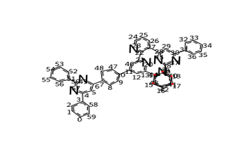 c1ccc(-c2cc(-c3ccc(-c4cc(-c5ccccn5)nc(-c5ncccc5-c5cc(-c6ccccc6)nc(-c6ccccc6)n5)c4)cc3)nc(-c3ccccc3)n2)cc1